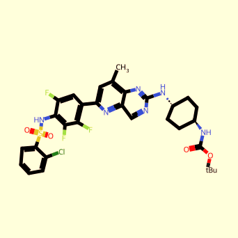 Cc1cc(-c2cc(F)c(NS(=O)(=O)c3ccccc3Cl)c(F)c2F)nc2cnc(N[C@H]3CC[C@H](NC(=O)OC(C)(C)C)CC3)nc12